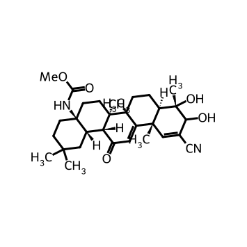 COC(=O)N[C@]12CCC(C)(C)C[C@H]1[C@H]1C(=O)C=C3[C@@]4(C)C=C(C#N)C(O)[C@@](C)(O)[C@@H]4CC[C@@]3(C)[C@]1(C)CC2